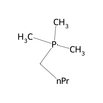 CCCC[P](C)(C)C